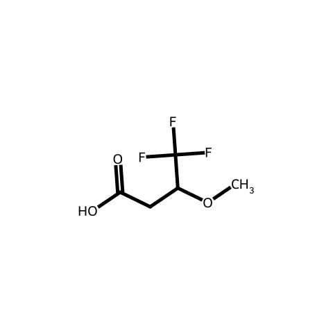 COC(CC(=O)O)C(F)(F)F